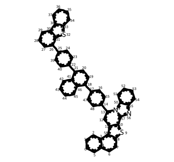 c1ccc2c(c1)ccc1sc3c(cc(-c4ccc(-c5ccc(-c6ccc(-c7cccc8c7sc7ccccc78)cc6)c6ccccc56)cc4)n4c5ccccc5nc34)c12